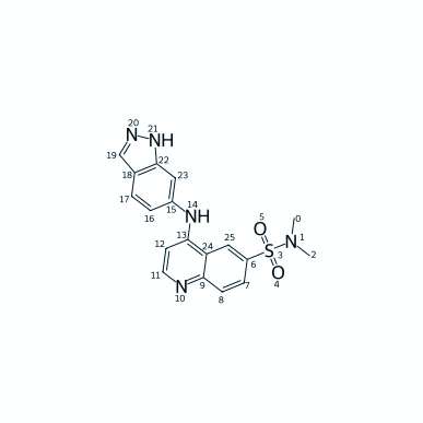 CN(C)S(=O)(=O)c1ccc2nccc(Nc3ccc4cn[nH]c4c3)c2c1